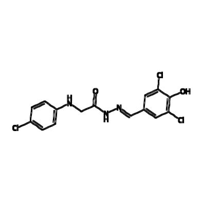 O=C(CNc1ccc(Cl)cc1)N/N=C/c1cc(Cl)c(O)c(Cl)c1